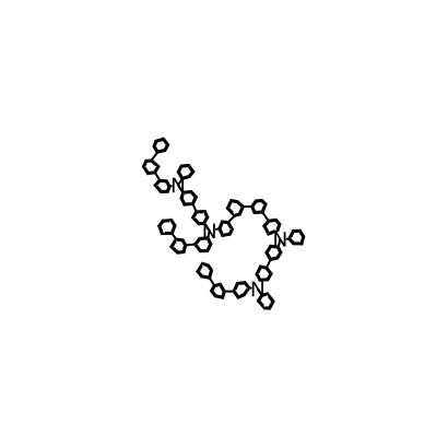 c1ccc(-c2cccc(-c3ccc(N(c4ccccc4)c4ccc(-c5ccc(N(c6ccccc6)c6ccc(-c7cccc(-c8cccc(-c9cccc(N(c%10ccc(-c%11ccc(N(c%12ccccc%12)c%12cccc(-c%13cccc(-c%14ccccc%14)c%13)c%12)cc%11)cc%10)c%10cccc(-c%11cccc(-c%12ccccc%12)c%11)c%10)c9)c8)c7)cc6)cc5)cc4)cc3)c2)cc1